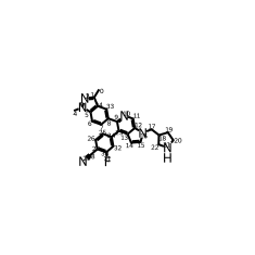 Cc1nn(C)c2ccc(-c3ncc4c(ccn4CC4CCNC4)c3-c3ccc(C#N)c(F)c3)cc12